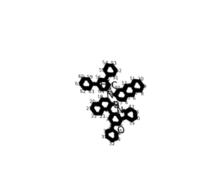 Cc1c2c(cc3cc4ccccc4cc13)B1c3c(cc4ccccc4c3-c3cc4c5ccccc5oc4c4c5ccccc5n1c34)N2c1cc(-c2ccccc2)cc(-c2ccccc2)c1